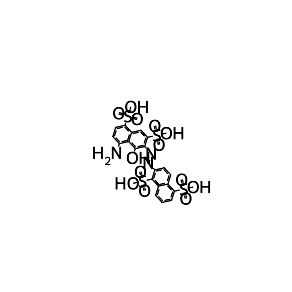 Nc1ccc(S(=O)(=O)O)c2cc(S(=O)(=O)O)c(N=Nc3ccc4c(S(=O)(=O)O)cccc4c3S(=O)(=O)O)c(O)c12